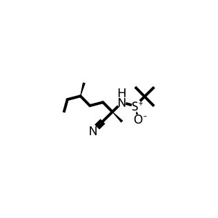 CC[C@@H](C)CC[C@@](C)(C#N)N[S@@+]([O-])C(C)(C)C